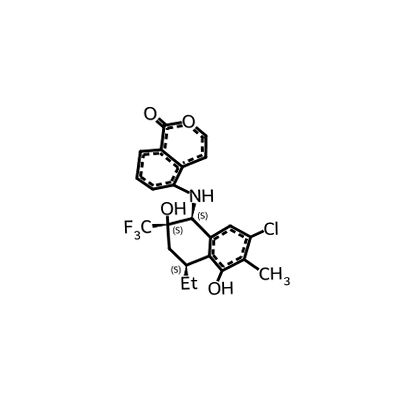 CC[C@H]1C[C@@](O)(C(F)(F)F)[C@@H](Nc2cccc3c(=O)occc23)c2cc(Cl)c(C)c(O)c21